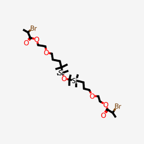 CC(Br)C(=O)OCCOCCCC(C)(C)[Si](C)(C)OC(C)(C)[Si](C)(C)CCCOCCOC(=O)C(C)Br